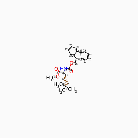 COC(=O)[C@H](CSSC(C)(C)C)NC(=O)OCC1c2ccccc2-c2ccccc21